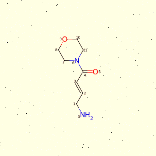 NC/C=C/C(=O)N1CCOCC1